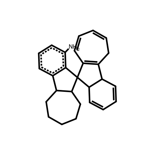 Nc1cccc2c1C1(C3=C(CC=CC=C3)C3C=CC=CC31)C1CCCCCC21